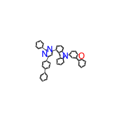 c1ccc(-c2ccc(-c3cc(-c4cccc5c4c4ccccc4n5-c4ccc5oc6ccccc6c5c4)nc(-c4ccccc4)n3)cc2)cc1